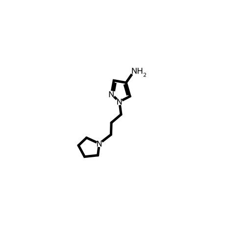 Nc1cnn(CCCN2CCCC2)c1